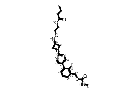 CCCC(=O)OCCON=C1CN(c2ncc(-c3cccc(COC(=O)NC)c3F)cn2)C1